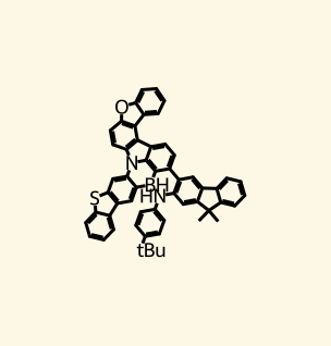 CC(C)(C)c1ccc(Nc2cc3c(cc2-c2ccc4c5c6c(ccc5n5c4c2Bc2cc4c(cc2-5)sc2ccccc24)oc2ccccc26)-c2ccccc2C3(C)C)cc1